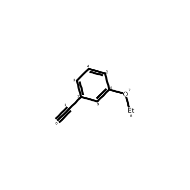 C#Cc1cc[c]c(OCC)c1